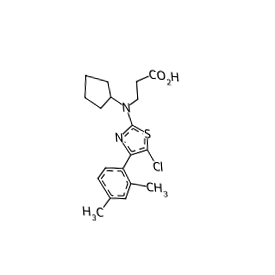 Cc1ccc(-c2nc(N(CCC(=O)O)C3CCCC3)sc2Cl)c(C)c1